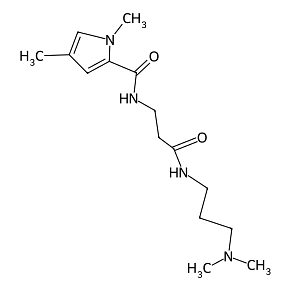 Cc1cc(C(=O)NCCC(=O)NCCCN(C)C)n(C)c1